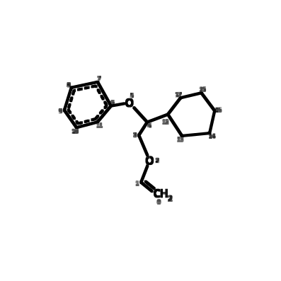 C=COCC(Oc1ccccc1)C1CCCCC1